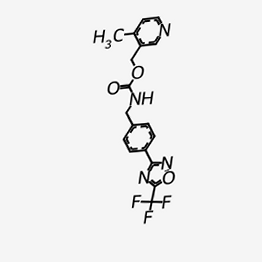 Cc1ccncc1COC(=O)NCc1ccc(-c2noc(C(F)(F)F)n2)cc1